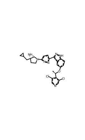 C[C@@H](Oc1ccc2[nH]nc(-c3ccc(N4CC[C@@](N)(CC5CC5)C4)nn3)c2c1)c1c(Cl)cncc1Cl